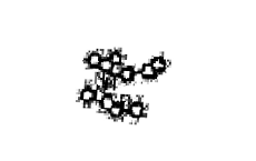 c1ccc2cc(-c3ccc(-c4nc(-n5c6ccccc6c6cc7ccc8c9ccccc9oc8c7cc65)nc5c6ccccc6c6ccccc6c45)cc3)ccc2c1